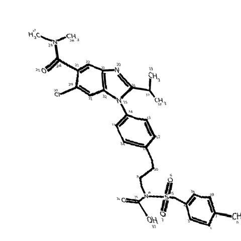 Cc1ccc(S(=O)(=O)N(CCc2ccc(-n3c(C(C)C)nc4cc(C(=O)N(C)C)c(Cl)cc43)cc2)C(=O)O)cc1